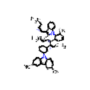 C=C/C=C\c1c(C)n(-c2c(C#N)cccc2C(=C/C=C)/C(=C\C)c2cccc(-n3c4c(c5cc(C#N)ccc53)CC(C#N)C=C4)c2)c2ccccc12